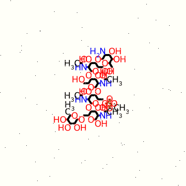 COS(=O)(=O)OCC1OC(OC2C(COC3OC(C)C(O)C(O)C3O)OC(O)C(NC(C)=O)C2O)C(NC(C)=O)C(O)C1OC1OC(CO)C(OC2OC(CO)C(OC3OC(CO)C(O)C(O)C3N)C(O)C2NC(C)=O)C(O)C1NC(C)=O